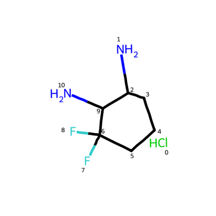 Cl.NC1CCCC(F)(F)C1N